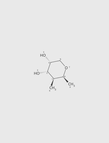 C[C@H]1[C@H](O)[C@H](O)CO[C@H]1C